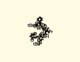 C/C(=C\[C@H](C(C)C)N(C)C(=O)[C@@H](NC(=O)[C@@H](N(C)C(=O)OC(C)(C)C)C(C)(C)c1ccccc1)C(C)(C)C)C(=O)N[C@@H](CC(=O)OC(C)(C)C)C(=O)NCCN1C(=O)C=CC1=O